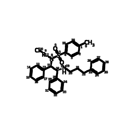 Cc1ccc(S(=O)(=O)[N]([Ru][Cl])[C@H](c2ccccc2)[C@H](NCCCc2ccccc2)c2ccccc2)cc1